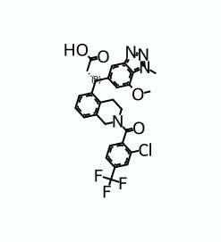 COc1cc([C@@H](CC(=O)O)c2cccc3c2CCN(C(=O)c2ccc(C(F)(F)F)cc2Cl)C3)cc2nnn(C)c12